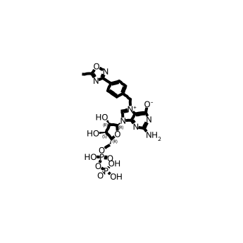 Cc1nc(-c2ccc(C[n+]3cn([C@@H]4O[C@H](COP(=O)(O)OP(=O)(O)O)[C@@H](O)[C@H]4O)c4nc(N)nc([O-])c43)cc2)no1